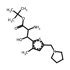 Cc1cc(CN2CCCC2)sc1C(O)C(N)C(=O)OC(C)(C)C